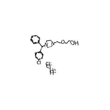 OCCOCCN1CCN(C(c2ccccc2)c2ccc(Cl)cc2)CC1.[Cl-].[Cl-].[H+].[H+]